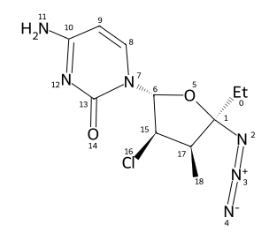 CC[C@@]1(N=[N+]=[N-])O[C@@H](n2ccc(N)nc2=O)[C@H](Cl)[C@@H]1C